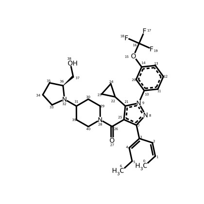 C/C=C\C(=C/CC)c1nn(-c2cccc(OC(F)(F)F)c2)c(C2CC2)c1C(=O)N1CCC(N2CCC[C@H]2CO)CC1